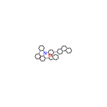 c1ccc(-c2ccccc2N(c2ccc(-c3ccc4c(ccc5ccccc54)c3)cc2)c2ccccc2-c2cc3ccccc3o2)cc1